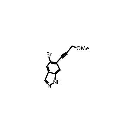 COCC#Cc1cc2[nH]ncc2cc1Br